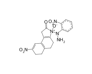 NN(c1ccccc1[N+](=O)[O-])[N+]1([O-])C(=O)CC2=C1CCC1=C2C=C([N+](=O)[O-])CC1